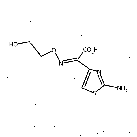 Nc1nc(C(=NOCCO)C(=O)O)cs1